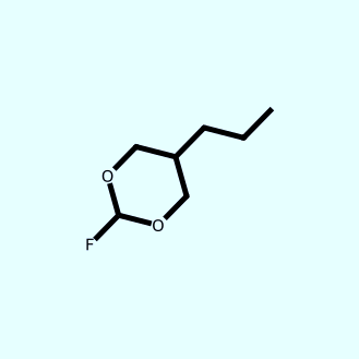 CCCC1COC(F)OC1